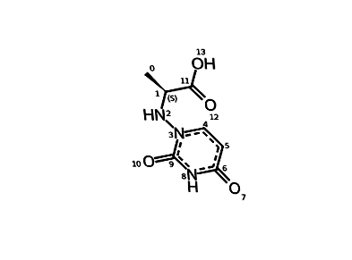 C[C@H](Nn1ccc(=O)[nH]c1=O)C(=O)O